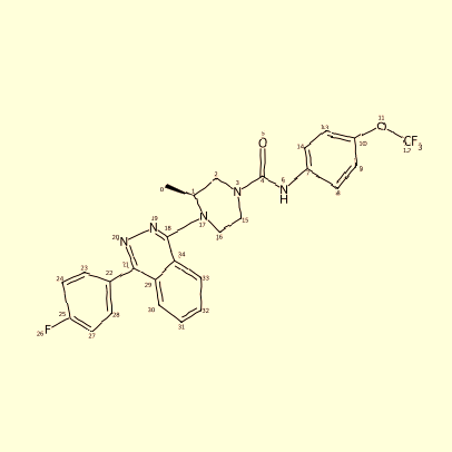 C[C@H]1CN(C(=O)Nc2ccc(OC(F)(F)F)cc2)CCN1c1nnc(-c2ccc(F)cc2)c2ccccc12